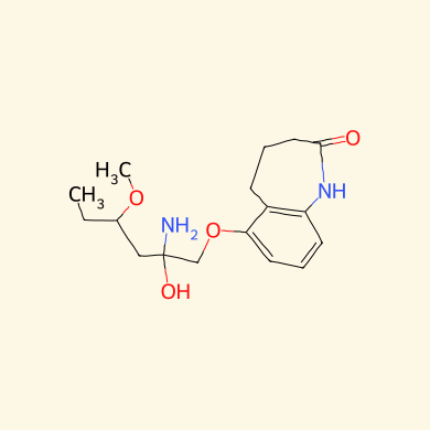 CCC(CC(N)(O)COc1cccc2c1CCCC(=O)N2)OC